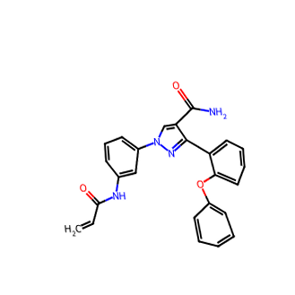 C=CC(=O)Nc1cccc(-n2cc(C(N)=O)c(-c3ccccc3Oc3ccccc3)n2)c1